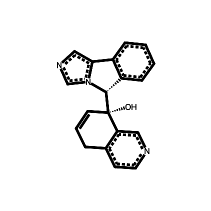 O[C@@]1([C@H]2c3ccccc3-c3cncn32)C=CCc2ccncc21